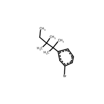 CCC(C)(C)C(C)(C)c1cccc(Br)c1